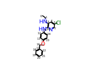 CCNc1cc(Cl)cnc1Nc1ccc(OCc2ccccc2)cc1